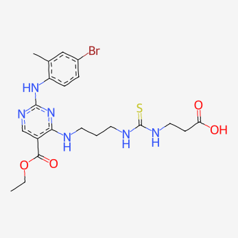 CCOC(=O)c1cnc(Nc2ccc(Br)cc2C)nc1NCCCNC(=S)NCCC(=O)O